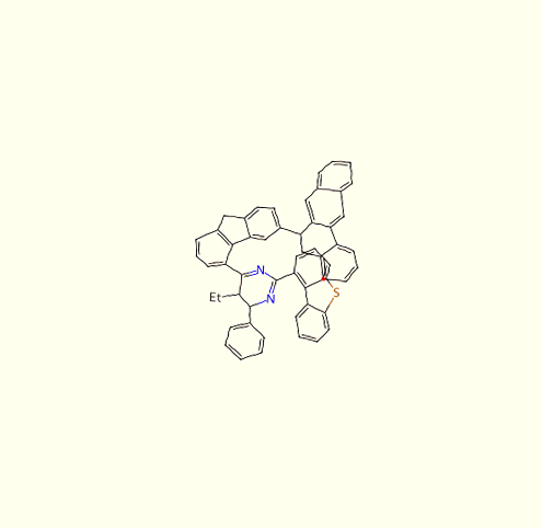 CCC1C(c2cccc3c2-c2cc(C4Cc5ccccc5-c5cc6ccccc6cc54)ccc2C3)=NC(c2cccc3sc4ccccc4c23)=NC1c1ccccc1